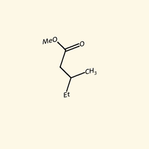 [CH2]CC(C)CC(=O)OC